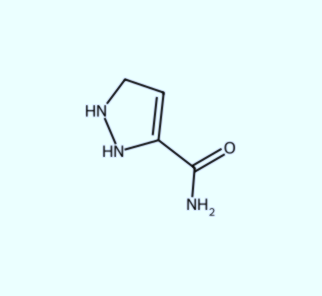 NC(=O)C1=CCNN1